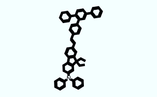 CCC1(CC)C2=C(CCC(N(c3ccccc3)c3ccccc3)=C2)c2ccc(/C=C/c3ccc(-c4cc(-c5ccccc5)ccc4C4=CCCC=C4)cc3)cc21